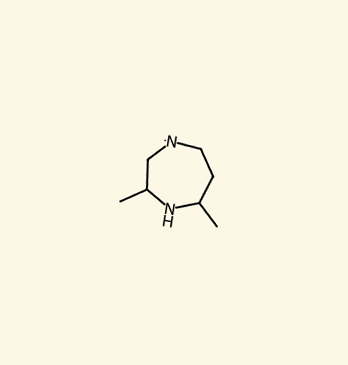 CC1CC[N]CC(C)N1